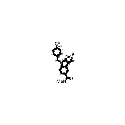 CNC(=O)c1ccc2c(c1)c1cn(C)nc1n2Cc1ccc(C(F)(F)F)cc1